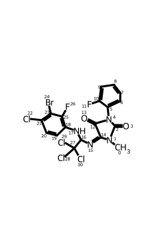 CN1C(=O)N(c2ccccc2F)C(=O)C1=NC(Nc1ccc(Cl)c(Br)c1F)C(Cl)(Cl)Cl